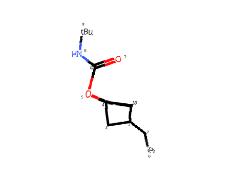 CC(C)CC1CC(OC(=O)NC(C)(C)C)C1